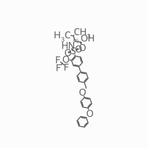 CC(C)[C@@H](NS(=O)(=O)c1ccc(-c2ccc(COc3ccc(Oc4ccccc4)cc3)cc2)cc1OC(F)(F)F)C(=O)O